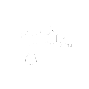 NS(=O)(=O)c1ccc(N[C@H](CSc2ccccc2)CC(=O)O)c([N+](=O)[O-])c1